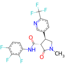 CN1C[C@H](c2ccc(C(F)(F)F)nc2)[C@@H](C(=O)Nc2ccc(F)c(F)c2F)C1=O